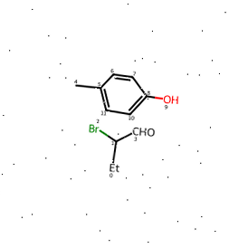 CCC(Br)C=O.Cc1ccc(O)cc1